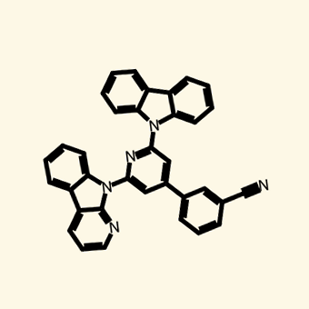 N#Cc1cccc(-c2cc(-n3c4ccccc4c4ccccc43)nc(-n3c4ccccc4c4cccnc43)c2)c1